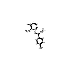 Cc1ccc[n+](CC(=O)c2ccc(Br)cc2)c1N.[Br-]